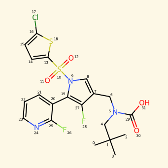 CC(C)(C)CN(Cc1cn(S(=O)(=O)c2ccc(Cl)s2)c(-c2cccnc2F)c1F)C(=O)O